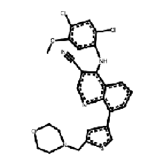 COc1cc(Nc2c(C#N)cnc3c(-c4csc(CN5CCOCC5)c4)cccc23)c(Cl)cc1Cl